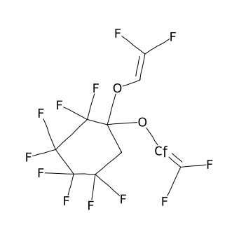 FC(F)=COC1([O][Cf]=[C](F)F)CC(F)(F)C(F)(F)C(F)(F)C1(F)F